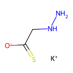 NNCC([O-])=S.[K+]